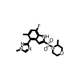 Cc1cc(F)c2[nH]c(S(=O)(=O)N3CCOCC3C)cc2c1-c1ncn(C)n1